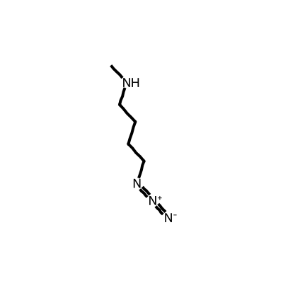 CNCCCCN=[N+]=[N-]